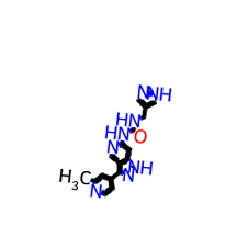 Cc1cc(-c2n[nH]c3cc(NC(=O)NCc4cn[nH]c4)ncc23)ccn1